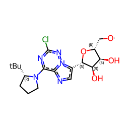 CC(C)(C)[C@H]1CCCN1c1nc(Cl)nn2c([C@@H]3O[C@H](C[O])[C@@H](O)[C@H]3O)cnc12